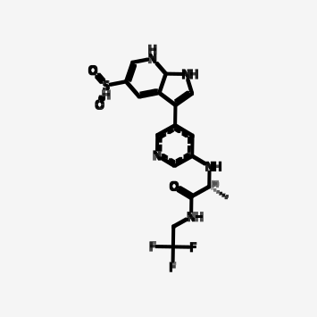 C[C@@H](Nc1cncc(C2=CNC3NC=C([SH](=O)=O)C=C23)c1)C(=O)NCC(F)(F)F